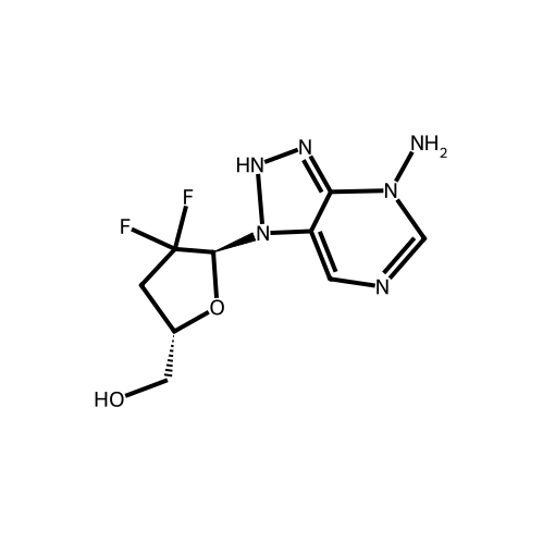 NN1C=NC=C2C1=NNN2[C@H]1O[C@H](CO)CC1(F)F